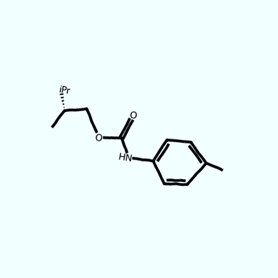 Cc1ccc(NC(=O)OC[C@H](C)C(C)C)cc1